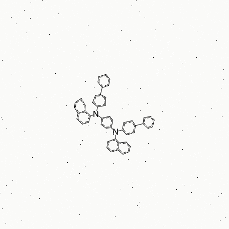 c1ccc(-c2ccc(N(c3ccc(N(c4ccc(-c5ccccc5)cc4)c4cccc5ccccc45)cc3)c3cccc4ccccc34)cc2)cc1